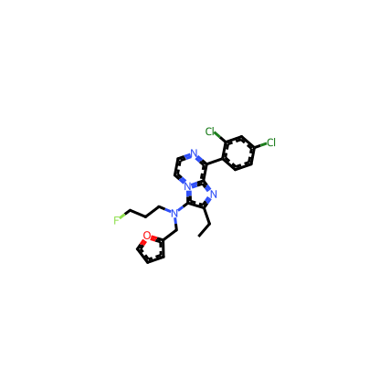 CCc1nc2c(-c3ccc(Cl)cc3Cl)nccn2c1N(CCCF)Cc1ccco1